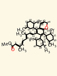 COC(=O)C=C(C)C=CC=C(C)C=Cc1c(C2CC(C)CCC2C(C)C)c2c(c(C3CC(C)CCC3C(C)C)c1C1CC(C)CCC1C(C)C)OCC=C2